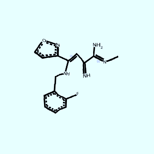 C/N=C(\N)C(=N)/C=C(\NCc1ccccc1F)c1ccon1